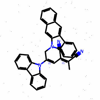 C/C(C#N)=C(C#N)\C=C(/Cn1c2ccccc2c2cc3ccccc3cc21)n1c2ccccc2c2ccccc21